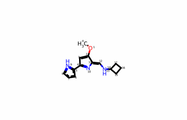 COC1=CC(c2ccc[nH]2)=N/C1=C\NC1CCC1